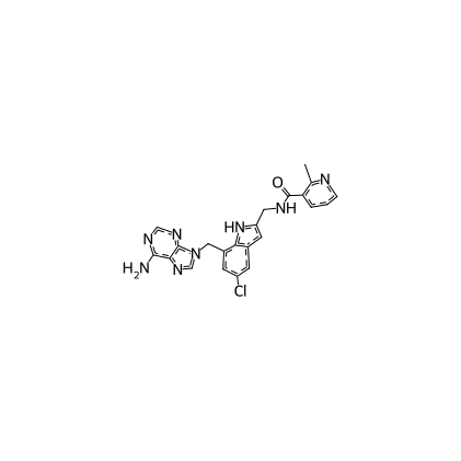 Cc1ncccc1C(=O)NCc1cc2cc(Cl)cc(Cn3cnc4c(N)ncnc43)c2[nH]1